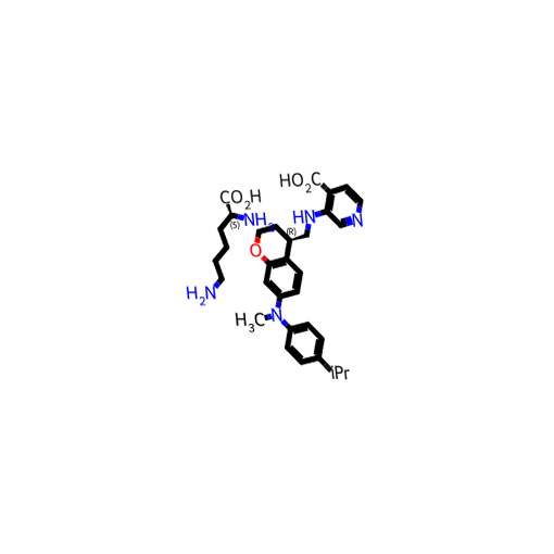 CC(C)c1ccc(N(C)c2ccc3c(c2)OCC[C@H]3CNc2cnccc2C(=O)O)cc1.NCCCC[C@H](N)C(=O)O